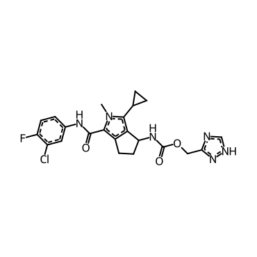 Cn1c(C(=O)Nc2ccc(F)c(Cl)c2)c2c(c1C1CC1)C(NC(=O)OCc1nc[nH]n1)CC2